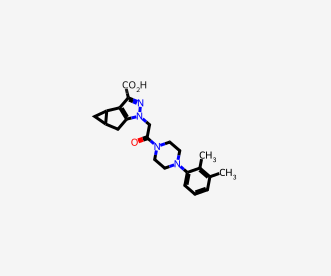 Cc1cccc(N2CCN(C(=O)Cn3nc(C(=O)O)c4c3CC3CC43)CC2)c1C